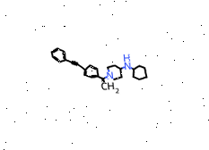 C=C(c1ccc(C#Cc2ccccc2)cc1)N1CCC(NC2CCCCC2)CC1